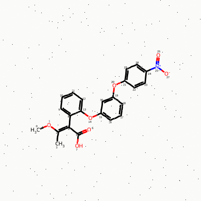 COC(C)=C(C(=O)O)c1ccccc1Oc1cccc(Oc2ccc([N+](=O)[O-])cc2)c1